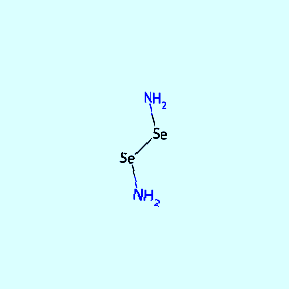 N[Se][Se]N